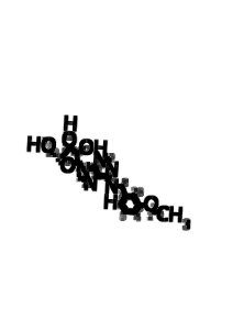 CCOc1cccc(CNc2ncnc3c2ncn3C2O[C@H](CO)[C@@H](O)[C@H]2O)c1